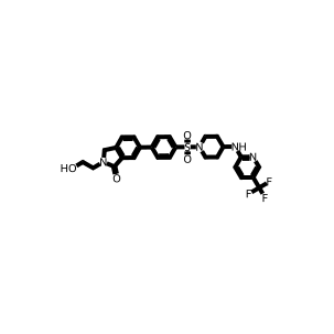 O=C1c2cc(-c3ccc(S(=O)(=O)N4CCC(Nc5ccc(C(F)(F)F)cn5)CC4)cc3)ccc2CN1CCO